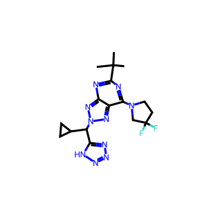 CC(C)(C)c1nc(N2CCC(F)(F)C2)c2nn(C(c3nnn[nH]3)C3CC3)nc2n1